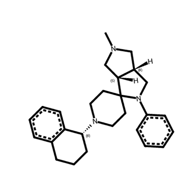 CN1C[C@@H]2CN(c3ccccc3)C3(CCN([C@@H]4CCCc5ccccc54)CC3)[C@@H]2C1